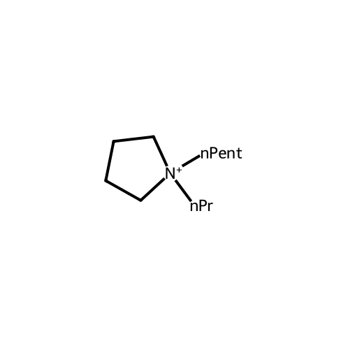 CCCCC[N+]1(CCC)CCCC1